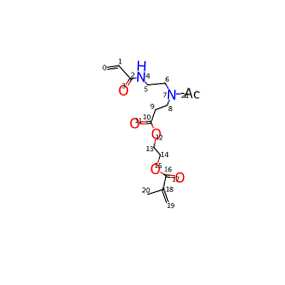 C=CC(=O)NCCN(CCC(=O)OCCOC(=O)C(=C)C)C(C)=O